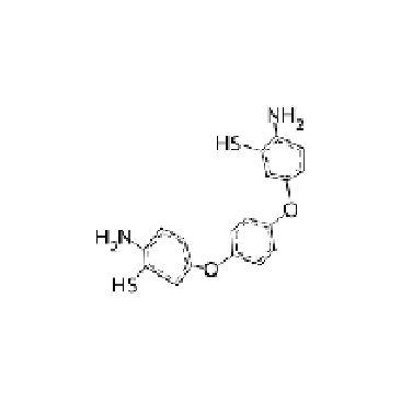 Nc1ccc(Oc2ccc(Oc3ccc(N)c(S)c3)cc2)cc1S